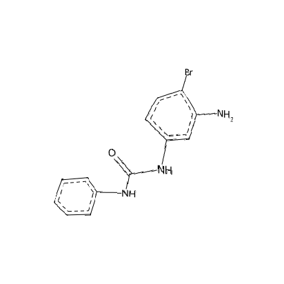 Nc1cc(NC(=O)Nc2ccccc2)ccc1Br